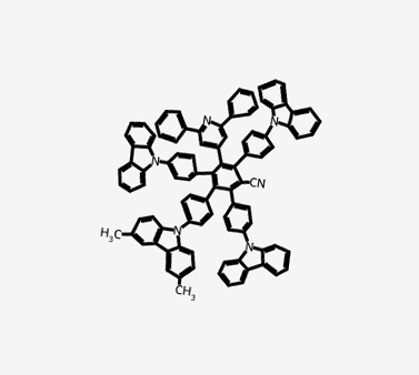 Cc1ccc2c(c1)c1cc(C)ccc1n2-c1ccc(-c2c(-c3ccc(-n4c5ccccc5c5ccccc54)cc3)c(C#N)c(-c3ccc(-n4c5ccccc5c5ccccc54)cc3)c(-c3cc(-c4ccccc4)nc(-c4ccccc4)c3)c2-c2ccc(-n3c4ccccc4c4ccccc43)cc2)cc1